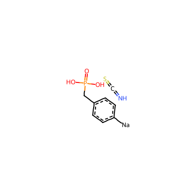 N=C=S.O=P(O)(O)Cc1cc[c]([Na])cc1